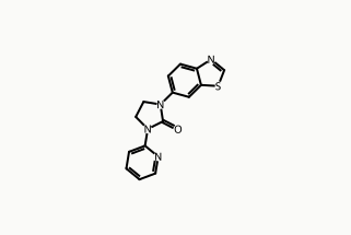 O=C1N(c2ccc3ncsc3c2)CCN1c1ccccn1